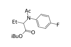 CCC(C(=O)OCC(C)C)N(C(C)=O)c1ccc(F)cc1